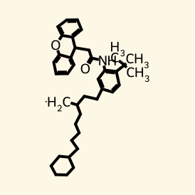 [CH2]C(CCCCCC1CCCCC1)CCc1ccc(C(C)(C)C)c(NC(=O)CC2c3ccccc3Oc3ccccc32)c1